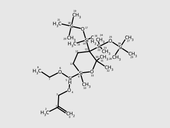 C=C(C)CO[SiH](OCC)[Si]1(C)CCC([Si](C)(C)O[Si](C)(C)C)([Si](C)(C)O[Si](C)(C)C)C(C)(C)O1